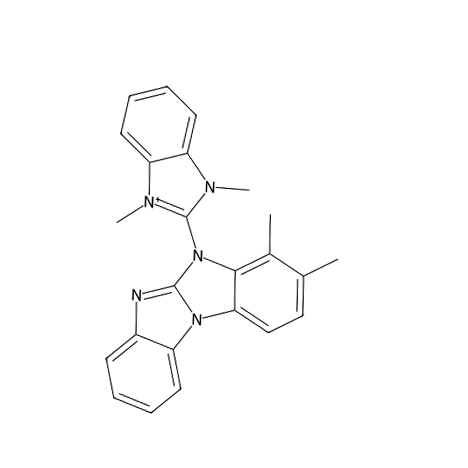 Cc1ccc2c(c1C)n(-c1n(C)c3ccccc3[n+]1C)c1nc3ccccc3n21